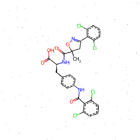 CC1(C(=O)N[C@@H](Cc2ccc(NC(=O)c3c(Cl)cccc3Cl)cc2)C(=O)O)CC(c2c(Cl)cccc2Cl)=NO1